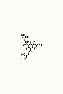 O=C(CCl)Nc1c(I)c(C(=O)NCC(O)CO)c(I)c(C(=O)NCC(O)CO)c1I